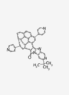 CC(C)(C)c1cc2c(cn1)nc1c3c4cc(-c5ccncc5)c5ccc6ccc7c(-c8ccncc8)cc(c3c(=O)n21)c1c7c6c5c41